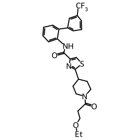 CCOCCC(=O)N1CCC(c2nc(C(=O)Nc3ccccc3-c3cccc(C(F)(F)F)c3)cs2)CC1